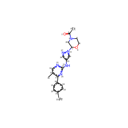 CCC(=O)N1CCOC(n2cc(Nc3ncc(C)c(-c4ccc(C(C)C)cc4)n3)cn2)C1